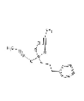 CC#CO[Si](CCCc1ccccc1)(OC)OC#CC